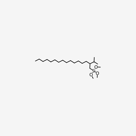 CCCCCCCCCCCCCCC(C[Si](OC)(OC)OC)[C](C)C